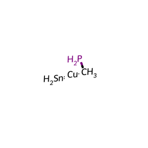 CP.[Cu].[SnH2]